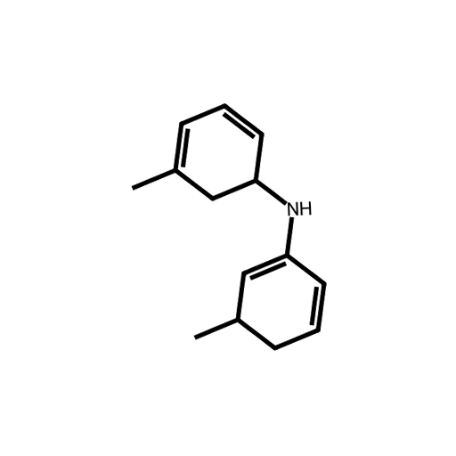 CC1=CC=CC(NC2=CC(C)CC=C2)C1